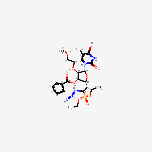 CCOP(=O)(OCC)C(C[C@H]1O[C@@H](n2cc(C)c(=O)[nH]c2=O)[C@H](OCCOC)[C@@H]1OC(=O)c1ccccc1)N=[N+]=[N-]